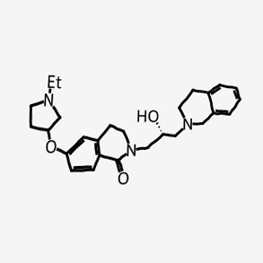 CCN1CCC(Oc2ccc3c(c2)CCN(C[C@H](O)CN2CCc4ccccc4C2)C3=O)C1